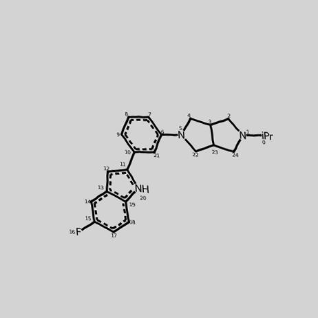 CC(C)N1CC2CN(c3cccc(-c4cc5cc(F)ccc5[nH]4)c3)CC2C1